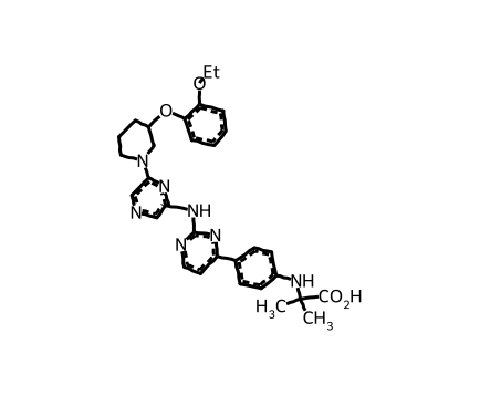 CCOc1ccccc1OC1CCCN(c2cncc(Nc3nccc(-c4ccc(NC(C)(C)C(=O)O)cc4)n3)n2)C1